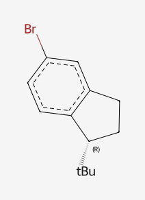 CC(C)(C)[C@H]1CCc2cc(Br)ccc21